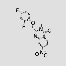 Cn1c(COc2ccc(F)cc2F)nc2cc([N+](=O)[O-])ccc2c1=O